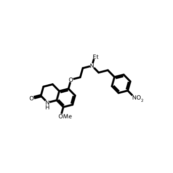 CCN(CCOc1ccc(OC)c2c1CCC(=O)N2)CCc1ccc([N+](=O)[O-])cc1